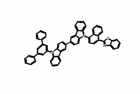 c1ccc(-c2cc(-c3ccccc3)cc(-n3c4ccccc4c4cc(-c5ccc6c(c5)c5ccccc5n6-c5ccc(-c6nc7ccccc7s6)c6ccccc56)ccc43)c2)cc1